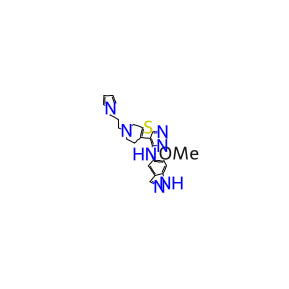 COc1cc2[nH]ncc2cc1Nc1ncnc2sc3c(c12)CCN(CCCn1cccc1)C3